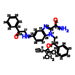 CC(C)(C)[Si](C)(C)O[C@@H](Cn1c(C(N)=O)nc2cc(NCC(=O)c3ccccc3)ccc21)c1ccccc1